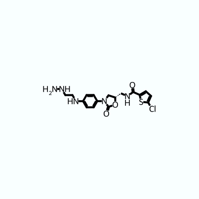 NNCCNc1ccc(N2C[C@H](CNC(=O)c3ccc(Cl)s3)OC2=O)cc1